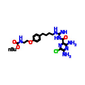 CCCCOC(=O)NCCOc1ccc(CCCCNC(=N)NC(=O)c2nc(Cl)c(N)nc2N)cc1